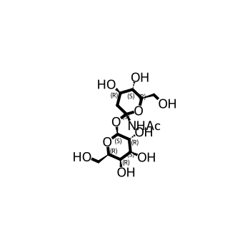 CC(=O)N[C@@]1(O[C@@H]2O[C@H](CO)[C@H](O)[C@H](O)[C@H]2O)C[C@@H](O)[C@H](O)[C@@H](CO)O1